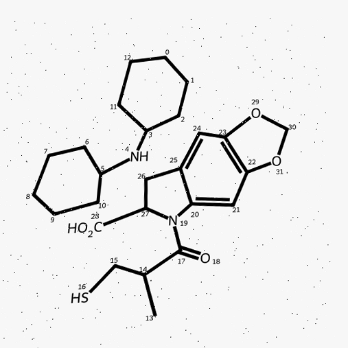 C1CCC(NC2CCCCC2)CC1.CC(CS)C(=O)N1c2cc3c(cc2CC1C(=O)O)OCO3